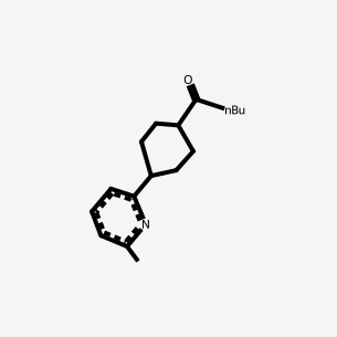 CCCCC(=O)C1CCC(c2cccc(C)n2)CC1